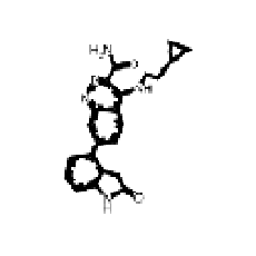 NC(=O)c1nnc2cc(-c3cccc4c3CC(=O)N4)ccc2c1NCCC1CC1